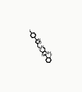 Fc1ccccc1-c1nc2c([nH]1)C=NN(Cc1cc(-c3ccc(I)cc3)no1)C2